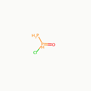 O=[PH](P)Cl